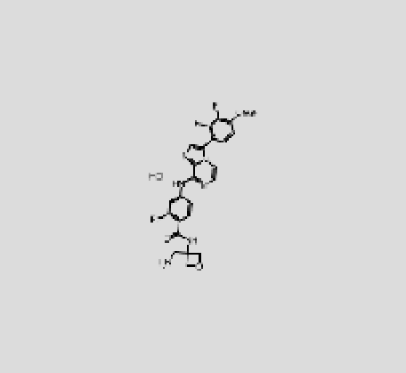 CCc1cc(Nc2nccn3c(-c4ccc(OC)c(F)c4F)cnc23)ccc1C(=O)NC1(CN)COC1.Cl